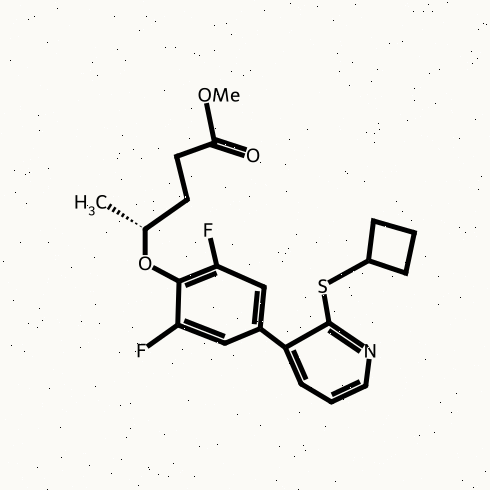 COC(=O)CC[C@@H](C)Oc1c(F)cc(-c2cccnc2SC2CCC2)cc1F